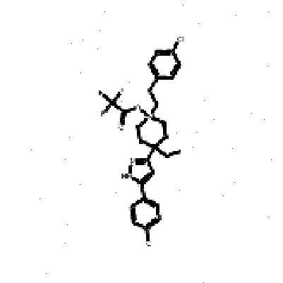 CCC1(c2cc(-c3ccc(Cl)cc3)[nH]n2)CC[N+](CCc2ccc(Cl)cc2)(OC(=O)C(F)(F)F)CC1